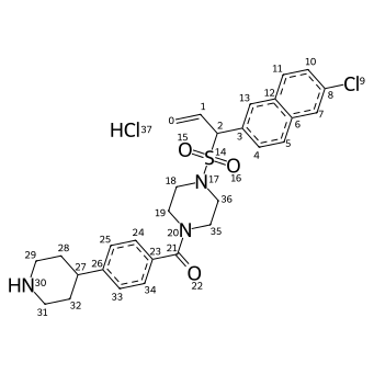 C=CC(c1ccc2cc(Cl)ccc2c1)S(=O)(=O)N1CCN(C(=O)c2ccc(C3CCNCC3)cc2)CC1.Cl